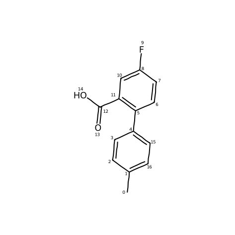 Cc1ccc(-c2ccc(F)cc2C(=O)O)cc1